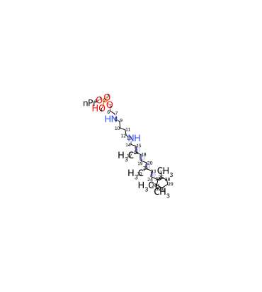 [CH2][CH]COP(=O)(O)OCCNCCCCNC/C=C(C)/C=C/C=C(C)/C=C/C1=C(C)CCCC1(C)C